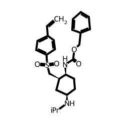 C=Cc1ccc(S(=O)(=O)C[C@@H]2C[C@H](NC(C)C)CC[C@@H]2NC(=O)OCc2ccccc2)cc1